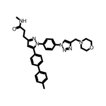 CNC(=O)CCc1cc(-c2ccc(-c3ccc(C)cc3)cc2)n(-c2ccc(-n3cc(CN4CCOCC4)nn3)cc2)n1